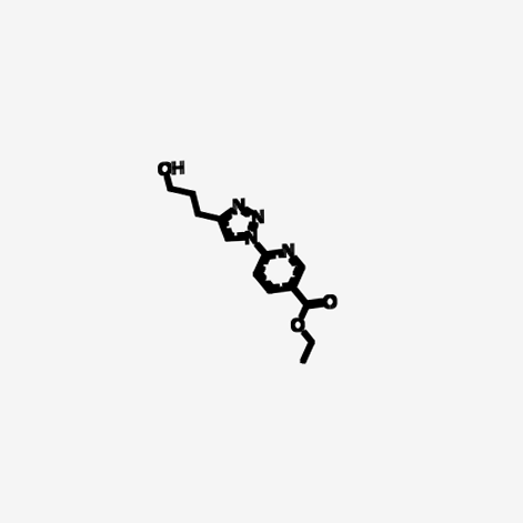 CCOC(=O)c1ccc(-n2cc(CCCO)nn2)nc1